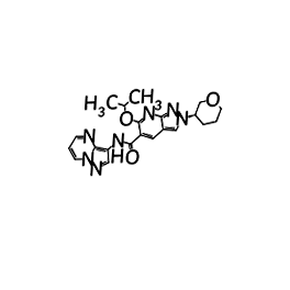 CC(C)Oc1nc2nn([C@@H]3CCCOC3)cc2cc1C(=O)Nc1cnn2cccnc12